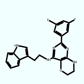 Fc1cc(F)cc(-c2nc3c(c(NCCc4c[nH]c5ccccc45)n2)OCCN3)c1